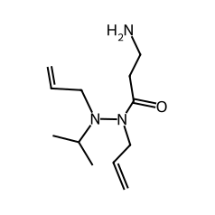 C=CCN(C(=O)CCN)N(CC=C)C(C)C